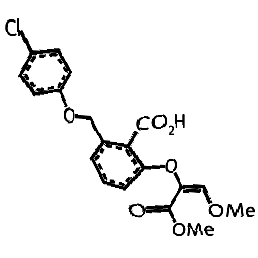 CO/C=C(/Oc1cccc(COc2ccc(Cl)cc2)c1C(=O)O)C(=O)OC